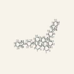 c1ccc(N(c2cccc3c2c2ccccc2n3-c2ccc(-c3nc4ccccc4s3)cc2)c2cccc3c2c2ccccc2n3-c2ccc(-c3nc4ccccc4s3)cc2)cc1